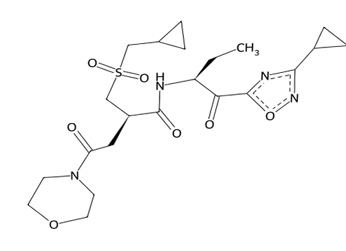 CC[C@H](NC(=O)[C@@H](CC(=O)N1CCOCC1)CS(=O)(=O)CC1CC1)C(=O)c1nc(C2CC2)no1